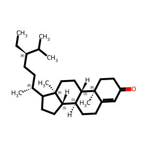 CC[C@H](CC[C@@H](C)C1CC[C@H]2[C@@H]3CCC4=CC(=O)CC[C@]4(C)[C@H]3CC[C@]12C)C(C)C